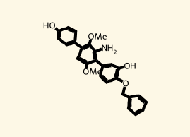 COc1cc(-c2ccc(O)cc2)c(OC)c(N)c1-c1ccc(OCc2ccccc2)c(O)c1